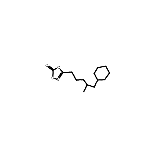 CC(CCCc1noc(=O)o1)CC1CCCCC1